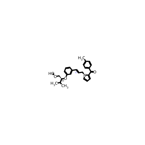 Cc1ccc(C(=O)c2cccn2C/C=C/c2cccc(O[C@H](COO)C(C)C)c2)cc1